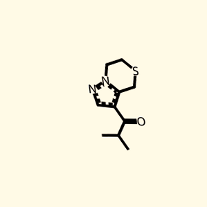 CC(C)C(=O)c1cnn2c1CSCC2